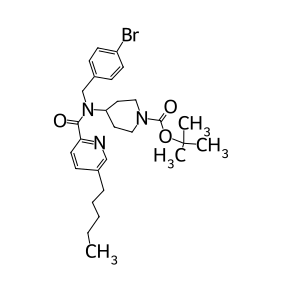 CCCCCc1ccc(C(=O)N(Cc2ccc(Br)cc2)C2CCN(C(=O)OC(C)(C)C)CC2)nc1